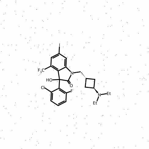 CCN(CC)[C@H]1C[C@H](CN2C(=O)C(O)(c3c(F)cccc3Cl)c3c2cc(I)cc3C(F)(F)F)C1